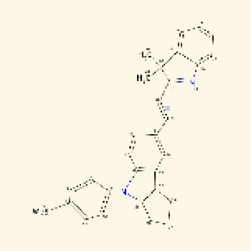 CSc1ccc(N2c3ccc(/C=C/C4=Nc5ccccc5C4(C)C)cc3C3CCCC32)cc1